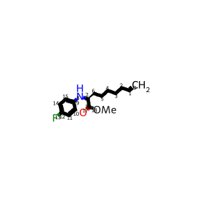 C=CCCCCC[C@H](Nc1ccc(F)cc1)C(=O)OC